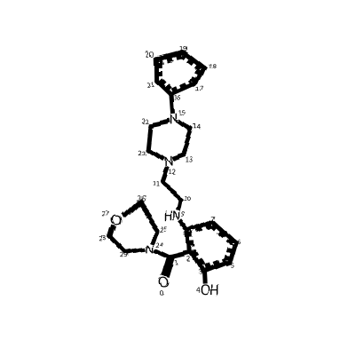 O=C(c1c(O)cccc1NCCN1CCN(c2ccccc2)CC1)N1CCOCC1